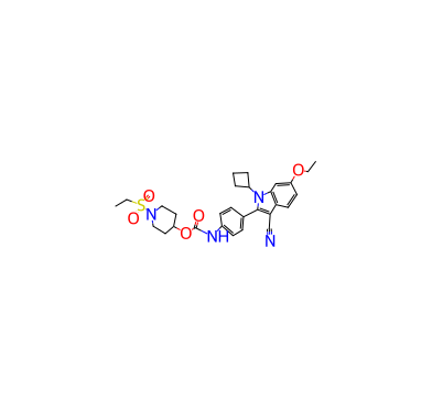 CCOc1ccc2c(C#N)c(-c3ccc(NC(=O)OC4CCN(S(=O)(=O)CC)CC4)cc3)n(C3CCC3)c2c1